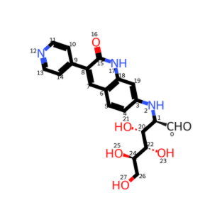 O=C[C@H](Nc1ccc2cc(-c3ccncc3)c(=O)[nH]c2c1)[C@@H](O)[C@H](O)[C@H](O)CO